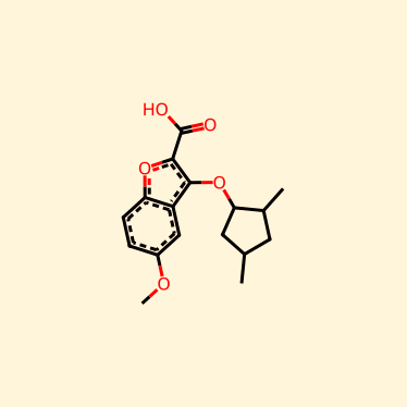 COc1ccc2oc(C(=O)O)c(OC3CC(C)CC3C)c2c1